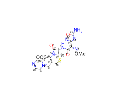 CO/N=C(\C(=O)NC1C(=O)N2C(C(=O)[O-])=C(C[n+]3ccncc3)CS[C@H]12)c1noc(N)n1